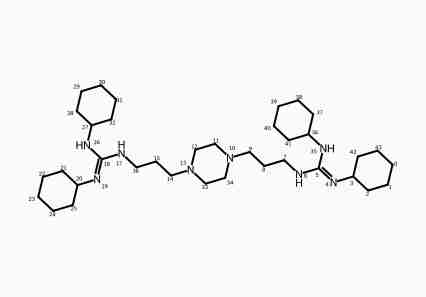 C1CCC(N=C(NCCCN2CCN(CCCNC(=NC3CCCCC3)NC3CCCCC3)CC2)NC2CCCCC2)CC1